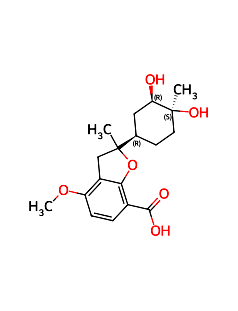 COc1ccc(C(=O)O)c2c1CC(C)([C@@H]1CC[C@](C)(O)[C@H](O)C1)O2